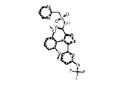 COc1cccc(OC)c1-n1c(C(=O)NS(=O)(=O)Cc2ncccn2)nnc1-c1cccc(OC(F)(F)F)n1